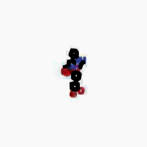 CCCOc1ccc(-c2ccc(OC)c(OC)c2)cc1C(=O)N[C@@H](CO)Cc1c[nH]c2ccccc12